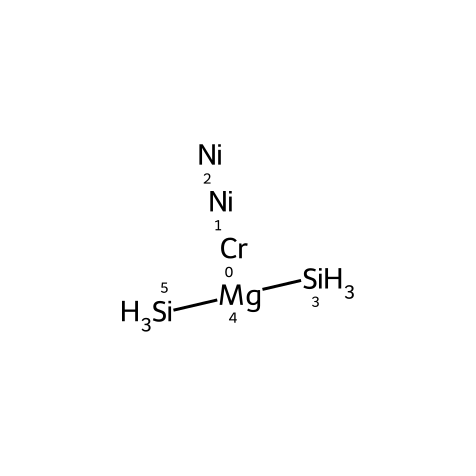 [Cr].[Ni].[Ni].[SiH3][Mg][SiH3]